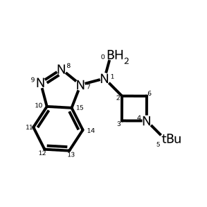 BN(C1CN(C(C)(C)C)C1)n1nnc2ccccc21